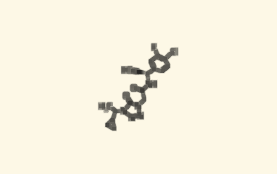 C#C[C@H](NC(=O)Cn1nnn(C(C)C2CC2)c1=O)c1ccc(Cl)c(F)c1